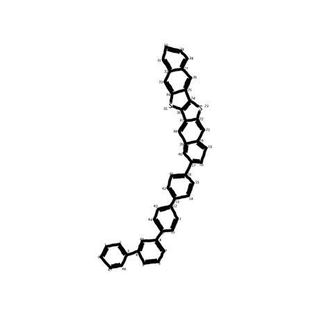 c1ccc(-c2cccc(-c3ccc(-c4ccc(-c5ccc6cc7sc8c9cc%10ccccc%10cc9sc8c7cc6c5)cc4)cc3)c2)cc1